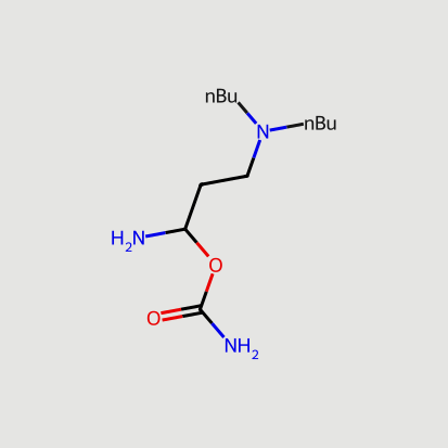 CCCCN(CCCC)CCC(N)OC(N)=O